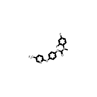 CN(C(=O)Oc1ccc(Oc2ccc(C(F)(F)F)cn2)cc1)c1ccc(F)cc1F